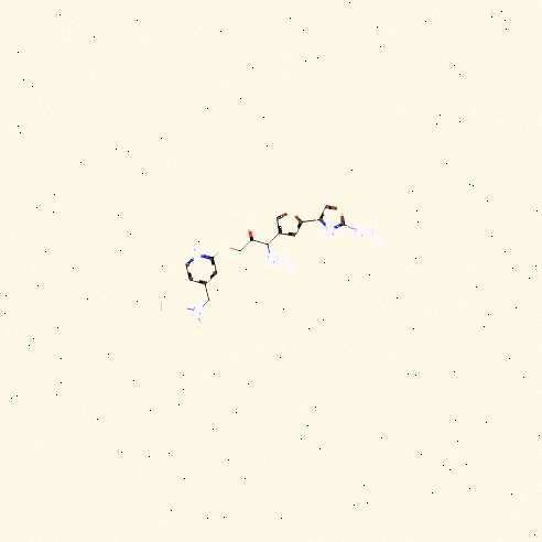 CN(C)Cc1ccnc(OCC(=O)C(N)c2csc(-c3csc(N)n3)c2)c1